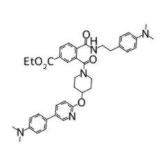 CCOC(=O)c1ccc(C(=O)NCCc2ccc(N(C)C)cc2)c(C(=O)N2CCC(Oc3ccc(-c4ccc(N(C)C)cc4)cn3)CC2)c1